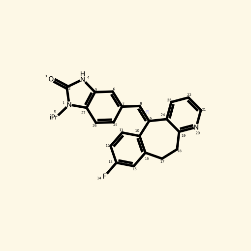 CC(C)n1c(=O)[nH]c2cc(/C=C3\c4ccc(F)cc4CCc4ncccc43)ccc21